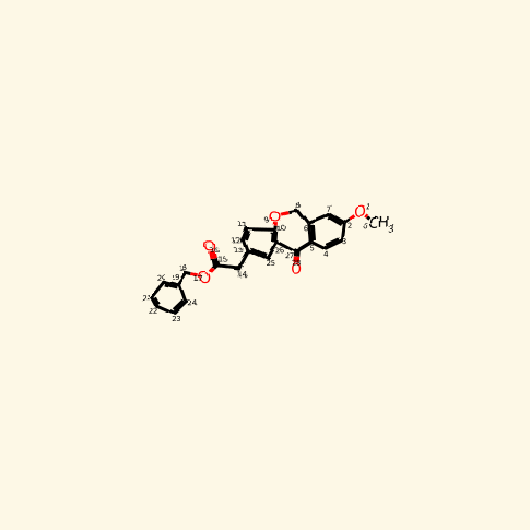 COc1ccc2c(c1)COc1ccc(CC(=O)OCc3ccccc3)cc1C2=O